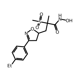 CCc1ccc(C2=NOC(CC(C)(C(=O)NO)S(C)(=O)=O)C2)cc1